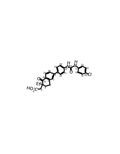 CC[C@]1(CC(=O)O)CCc2cc(-c3ccc(NC(=O)Nc4ccc(Cl)cc4)cc3)ccc2C1=O